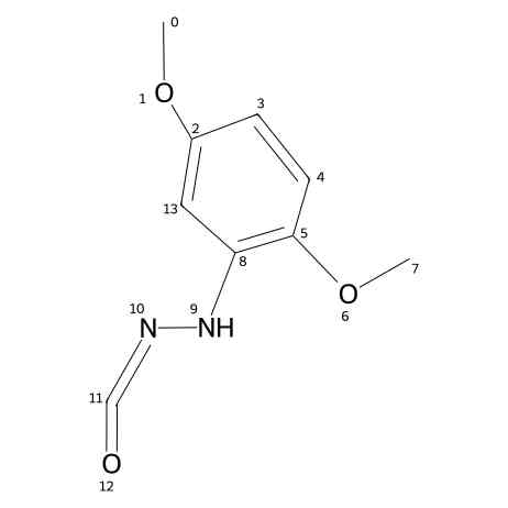 COc1ccc(OC)c(NN=C=O)c1